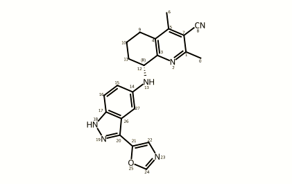 Cc1nc2c(c(C)c1C#N)CCC[C@H]2Nc1ccc2[nH]nc(-c3cnco3)c2c1